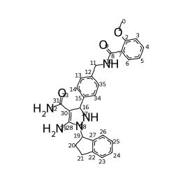 COc1ccccc1C(=O)NCc1ccc(C2NN(C3CCc4ccccc43)C(N)=C2C(N)=O)cc1